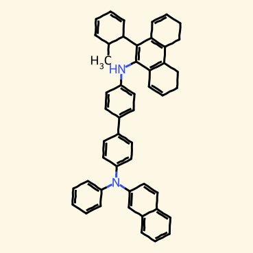 CC1C=CC=CC1c1c2c(c3c(c1Nc1ccc(-c4ccc(N(c5ccccc5)c5ccc6ccccc6c5)cc4)cc1)C=CCC3)CCC=C2